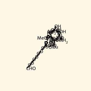 CCC(=O)N[C@H](C(=O)NCC(=O)N[C@H]1C[S+]([O-])c2[nH]c3c(CSC4CCN(C(=O)CCOCCOCCOCCOCCOCCOCCOCCC=O)CC4)c(OC)ccc3c2C[C@@H](C(N)=O)NC(=O)[C@H]([C@@H](C)[C@@H](O)CO)NC(=O)[C@@H]2C[C@@H](O)CN2C(=O)[C@H](CCC(N)=O)NC1=O)[C@@H](C)CC